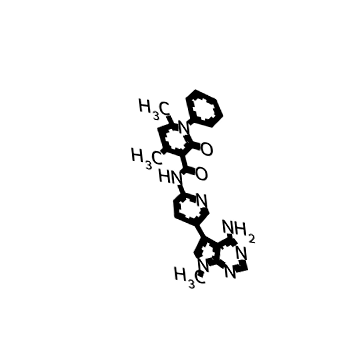 Cc1cc(C)n(-c2ccccc2)c(=O)c1C(=O)Nc1ccc(-c2cn(C)c3ncnc(N)c23)cn1